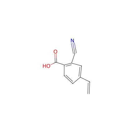 C=Cc1ccc(C(=O)O)c(C#N)c1